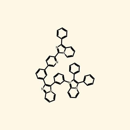 c1ccc(-c2nc(-c3ccc(-c4cccc(-c5nc6ccccn6c5-c5cccc(-[n+]6c(-c7ccccc7)c(-c7ccccc7)n7ccccc76)c5)c4)cn3)n3ccccc23)cc1